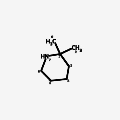 CC1(C)CC[CH]CN1